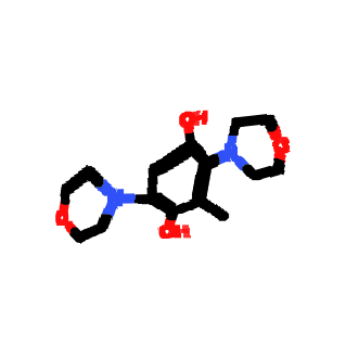 Cc1c(O)c(N2CCOCC2)cc(O)c1N1CCOCC1